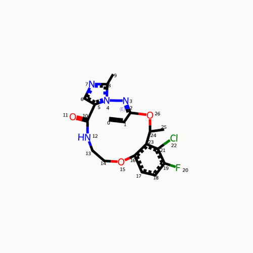 C=C/C1=N\n2c(cnc2C)C(=O)NCCOc2ccc(F)c(Cl)c2C(C)O1